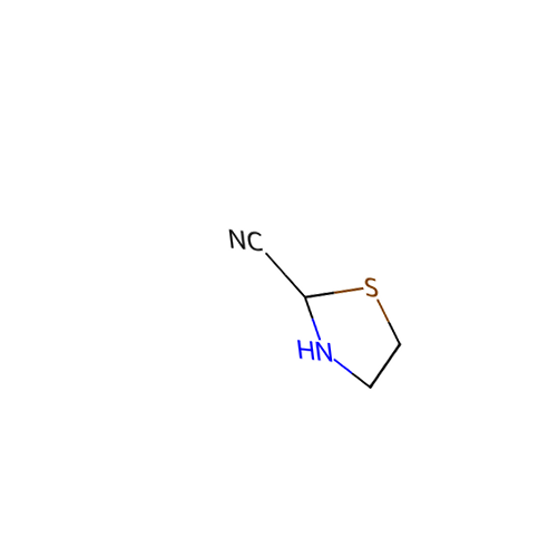 N#CC1NCCS1